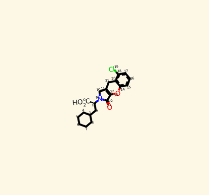 O=C(O)[C@H](CC1CCCCC1)N1CC2=C(Oc3cccc(Cl)c3C2)C1=O